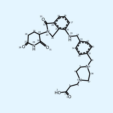 O=C(O)CCN1CCN(Cc2ccc(CNc3cccc4c3CN(C3CCC(=O)NC3=O)C4=O)cc2)CC1